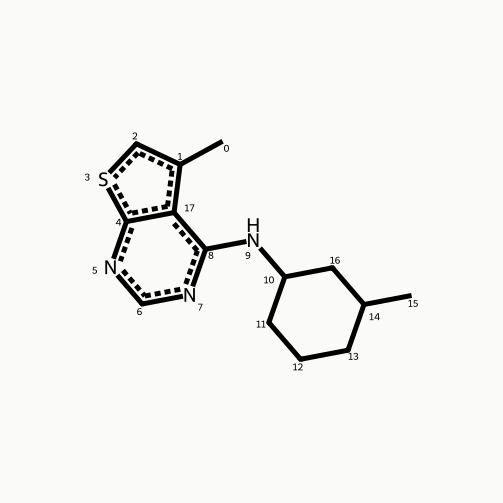 Cc1csc2ncnc(NC3CCCC(C)C3)c12